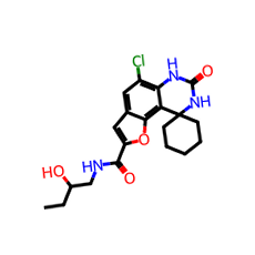 CCC(O)CNC(=O)c1cc2cc(Cl)c3c(c2o1)C1(CCCCC1)NC(=O)N3